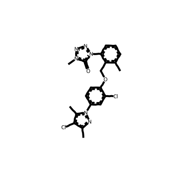 Cc1cccc(-n2nnn(C)c2=O)c1COc1ccc(-n2nc(C)c(Cl)c2C)cc1Cl